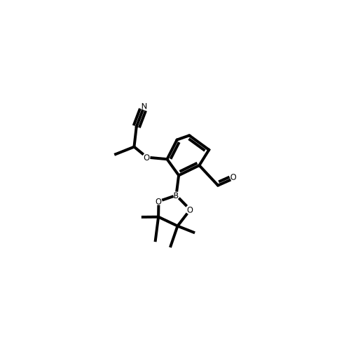 CC(C#N)Oc1cccc(C=O)c1B1OC(C)(C)C(C)(C)O1